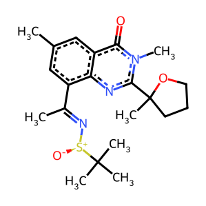 CC(=N[S@+]([O-])C(C)(C)C)c1cc(C)cc2c(=O)n(C)c(C3(C)CCCO3)nc12